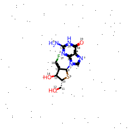 Nc1nc2c(ncn2[C@H]2S[C@H](CO)C(O)/C2=C/F)c(=O)[nH]1